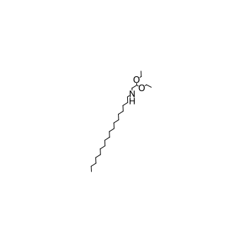 CCCCCCCCCCCCCCCCCCNCC(OCC)OCC